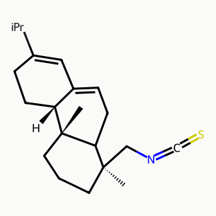 CC(C)C1=CC2=CCC3[C@@](C)(CN=C=S)CCC[C@]3(C)[C@@H]2CC1